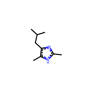 Cc1nc(CC(C)C)c(C)[nH]1